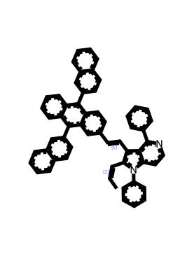 C/C=C\c1c(/C=C/c2ccc3c(-c4ccc5ccccc5c4)c4ccccc4c(-c4ccc5ccccc5c4)c3c2)c2c(-c3ccccc3)nccc2n1-c1ccccc1